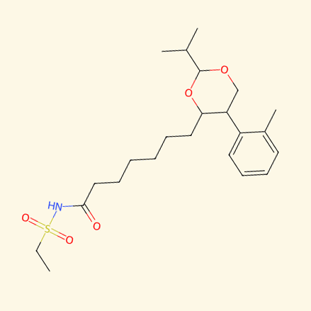 CCS(=O)(=O)NC(=O)CCCCCCC1OC(C(C)C)OCC1c1ccccc1C